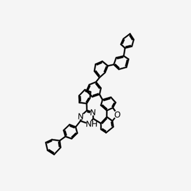 c1ccc(C2=NC(c3cccc4oc5ccc(-c6cccc(-c7cccc(-c8cccc(-c9ccccc9)c8)c7)c6)cc5c34)NC(c3ccc(-c4ccccc4)cc3)=N2)cc1